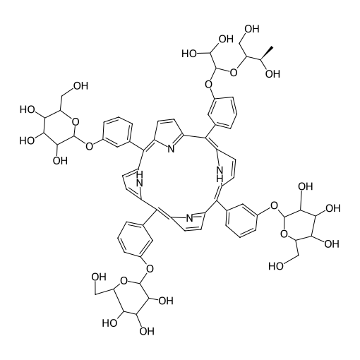 C[C@@H](O)C(CO)OC(Oc1cccc(-c2c3nc(c(-c4cccc(OC5OC(CO)C(O)C(O)C5O)c4)c4ccc([nH]4)c(-c4cccc(OC5OC(CO)C(O)C(O)C5O)c4)c4nc(c(-c5cccc(OC6OC(CO)C(O)C(O)C6O)c5)c5ccc2[nH]5)C=C4)C=C3)c1)C(O)O